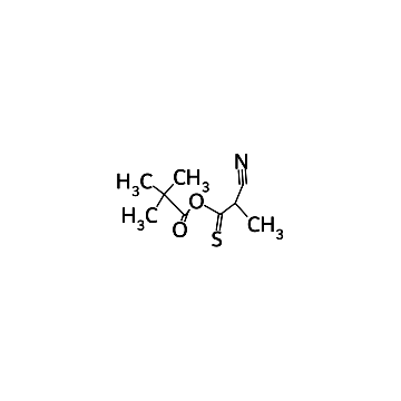 CC(C#N)C(=S)OC(=O)C(C)(C)C